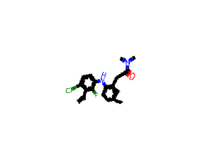 CCc1c(Cl)ccc(Nc2ccc(C)cc2CC(=O)N(C)C)c1F